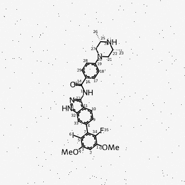 COc1cc(OC)c(I)c(-c2ccc3c(NC(=O)c4ccc(N5C[C@@H](C)N[C@@H](C)C5)cc4)n[nH]c3c2)c1F